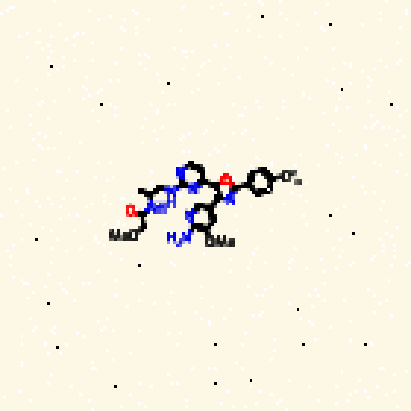 COCC(=O)NC(C)CNc1nccc(-c2oc(-c3ccc(C(F)(F)F)cc3)nc2-c2cnc(N)c(OC)c2)n1